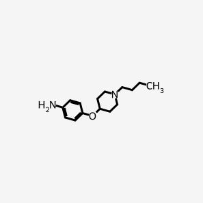 CCCCN1CCC(Oc2ccc(N)cc2)CC1